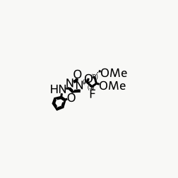 COC[C@H]1O[C@@H](n2cc3c(nc2=O)Nc2ccccc2O3)[C@@H](F)C1OC